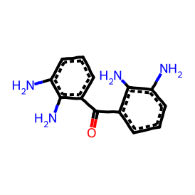 Nc1cccc(C(=O)c2cccc(N)c2N)c1N